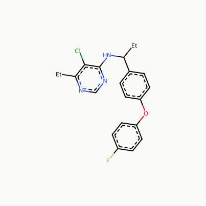 CCc1ncnc(NC(CC)c2ccc(Oc3ccc(F)cc3)cc2)c1Cl